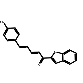 O=C(/C=C/C=C/c1ccc([N+](=O)[O-])cc1)c1cc2ccccc2o1